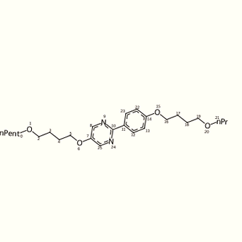 CCCCCOCCCCOc1cnc(-c2ccc(OCCCCOCCC)cc2)nc1